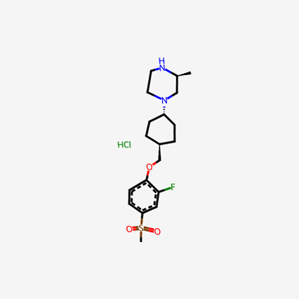 C[C@H]1CN([C@H]2CC[C@H](COc3ccc(S(C)(=O)=O)cc3F)CC2)CCN1.Cl